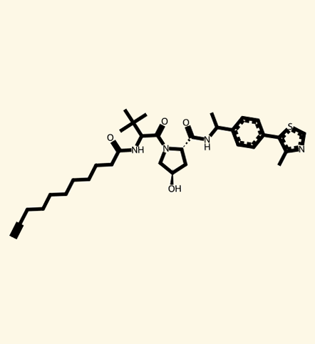 C#CCCCCCCCCC(=O)NC(C(=O)N1C[C@H](O)C[C@H]1C(=O)NC(C)c1ccc(-c2scnc2C)cc1)C(C)(C)C